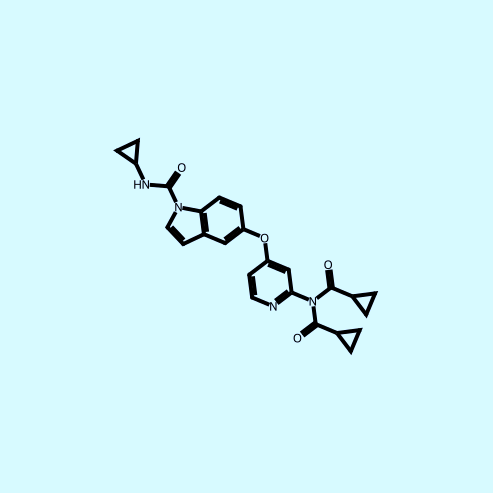 O=C(C1CC1)N(C(=O)C1CC1)c1cc(Oc2ccc3c(ccn3C(=O)NC3CC3)c2)ccn1